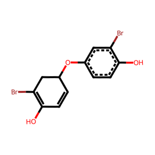 OC1=C(Br)CC(Oc2ccc(O)c(Br)c2)C=C1